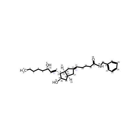 CCCCC[C@H](O)/C=C/[C@@H]1[C@H]2C/C(=C/CCCC(=O)NCc3ccccc3)C[C@H]2C[C@H]1O